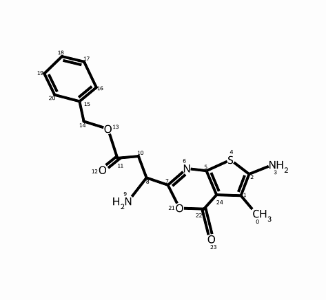 Cc1c(N)sc2nc(C(N)CC(=O)OCc3ccccc3)oc(=O)c12